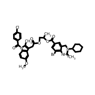 CCN(Cc1cc(C(=O)OC(C)COC(=O)Cc2c(C)n(C(=O)c3ccc(Cl)cc3)c3ccc(OC)cc23)cc(Br)c1N)C1CCCCC1